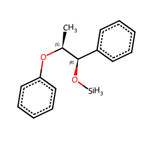 C[C@H](Oc1ccccc1)[C@H](O[SiH3])c1ccccc1